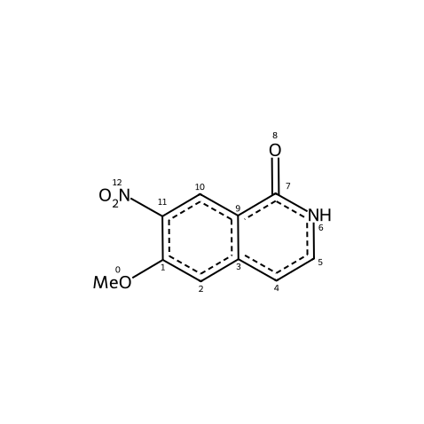 COc1cc2cc[nH]c(=O)c2cc1[N+](=O)[O-]